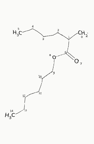 [CH2]C(CCCC)C(=O)OCCCCCC